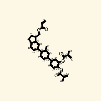 C=CC(=O)OCC1CCc2ccc(-c3ccc(-c4ccc(OC(=O)C(=C)C)c(OC(=O)C(=C)C)c4)cc3C)cc21